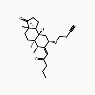 C#CCCO[C@@H]1C[C@@H]2[C@H](CC[C@]3(C)C(=O)CC[C@@H]23)[C@H](C)/C1=C\C(=O)CCC